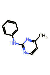 Cc1ccnc(Nc2ccccc2)n1